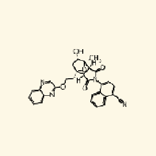 C[C@]12O[C@](CCOc3cnc4ccccc4n3)(C[C@@H]1O)[C@H]1C(=O)N(c3ccc(C#N)c4ccccc34)C(=O)[C@H]12